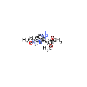 C=CC(=O)N1CCC(n2nc(C#Cc3cc(OC)cc(C(C)=O)c3)c3c(N)ncc(C)c32)C1